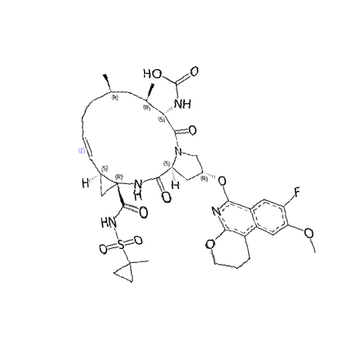 COc1cc2c3c(nc(O[C@@H]4C[C@H]5C(=O)N[C@]6(C(=O)NS(=O)(=O)C7(C)CC7)C[C@H]6/C=C\CC[C@@H](C)C[C@@H](C)[C@H](NC(=O)O)C(=O)N5C4)c2cc1F)OCCC3